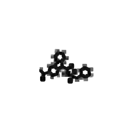 CC(=O)c1ccc2c(C(=O)NS(=O)(=O)Cc3ccccc3)c3ccccn3c2c1